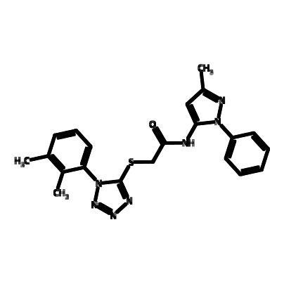 Cc1cc(NC(=O)CSc2nnnn2-c2cccc(C)c2C)n(-c2ccccc2)n1